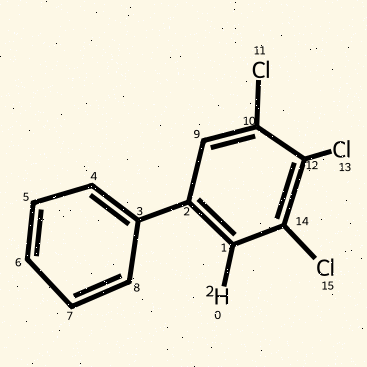 [2H]c1c(-c2ccccc2)cc(Cl)c(Cl)c1Cl